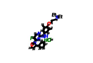 CCN(CC)CCCOc1c(C)cc(Nc2ncc(F)c(N3OCCC3c3ccccc3)n2)cc1C.Cl